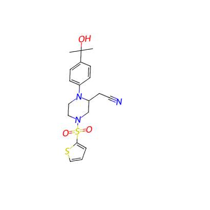 CC(C)(O)c1ccc(N2CCN(S(=O)(=O)c3cccs3)CC2CC#N)cc1